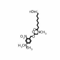 CCCCCCCCCCCCCCCCCC(=O)N(C)CC(=O)OCc1ccc(N(C)C)cc1[N+](=O)[O-]